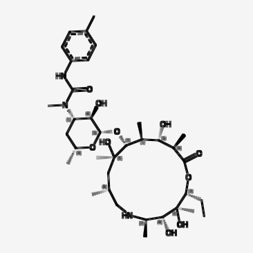 CC[C@H]1OC(=O)[C@H](C)[C@@H](O)[C@H](C)[C@@H](O[C@@H]2O[C@H](C)C[C@H](N(C)C(=O)Nc3ccc(C)cc3)[C@H]2O)[C@](C)(O)C[C@@H](C)CN[C@H](C)[C@@H](O)[C@]1(C)O